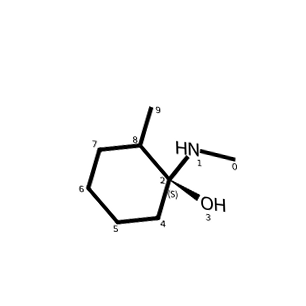 CN[C@]1(O)CCCCC1C